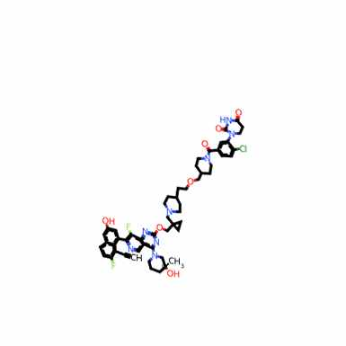 C#Cc1c(F)ccc2cc(O)cc(-c3ncc4c(N5CCC[C@@](C)(O)C5)nc(OCC5(CN6CCC(CCOCC7CCN(C(=O)c8ccc(Cl)c(N9CCC(=O)NC9=O)c8)CC7)CC6)CC5)nc4c3F)c12